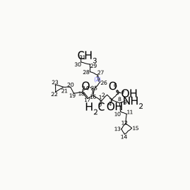 C=C(CC(O)(C(=O)O)C(N)CCC1CCC1)c1cc(CCC2CC2)oc1/C=C\CCCC